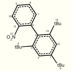 CC(C)(C)c1cc(C(C)(C)C)c(-c2ccc[c]c2[N+](=O)[O-])c(C(C)(C)C)c1